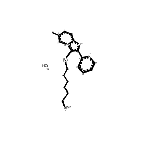 CCCCCCCCCCCCCCCCNc1c(-c2ccccn2)nc2ccc(C)cn12.Cl